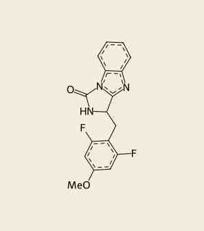 COc1cc(F)c(CC2NC(=O)n3c2nc2ccccc23)c(F)c1